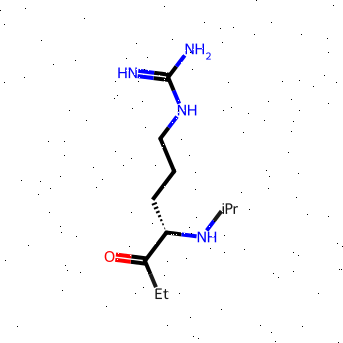 CCC(=O)[C@H](CCCNC(=N)N)NC(C)C